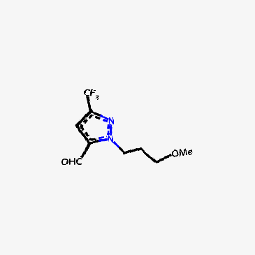 COCCCn1nc(C(F)(F)F)cc1C=O